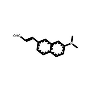 CN(C)c1ccc2ccc(/C=C/C=O)cc2c1